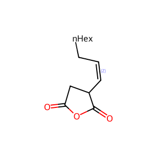 CCCCCCC/C=C\C1CC(=O)OC1=O